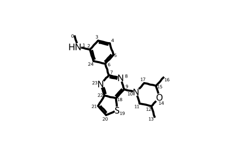 CNc1cccc(-c2nc(N3CC(C)OC(C)C3)c3sccc3n2)c1